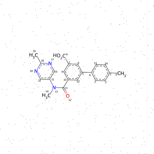 Cc1ccc(-c2cc(C(=O)O)cc(C(=O)N(C)c3cnc(C)nc3)c2)cc1